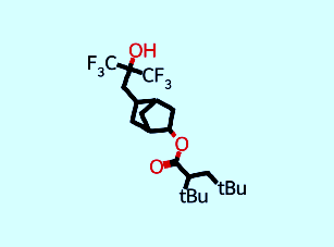 CC(C)(C)CC(C(=O)OC1CC2CC1CC2CC(O)(C(F)(F)F)C(F)(F)F)C(C)(C)C